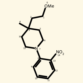 COCCC1(C)CCN(c2ccccc2[N+](=O)[O-])CC1